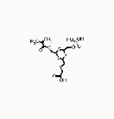 C=C(C)C(=O)OCC1SC(COP(=O)(O)O)SC(CSCC(=O)O)S1